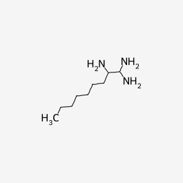 CCCCCCCC(N)C(N)N